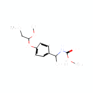 CCOC(COC)Oc1ccc(C(NC(=O)OC(C)(C)C)C(=O)O)cc1